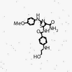 COc1ccc(Nc2nc(C(N)=O)c(NC(=O)c3ccc(NCCO)cc3)s2)cc1